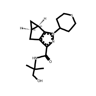 CC(C)(CO)NC(=O)c1nn(C2CCSCC2)c2c1C[C@H]1C[C@@H]21